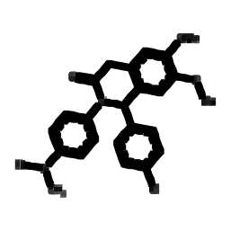 CCC(C)Oc1cc2c(cc1OC)CC(=O)N(c1ccc(N(C)CC)cc1)C2c1ccc(Cl)cc1